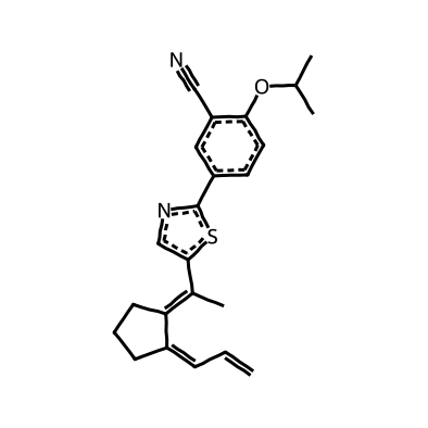 C=C/C=C1/CCC/C1=C(/C)c1cnc(-c2ccc(OC(C)C)c(C#N)c2)s1